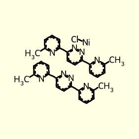 Cc1cccc(-c2ccc(-c3cccc(C)n3)nn2)n1.Cc1cccc(-c2ccc(-c3cccc(C)n3)nn2)n1.[Cl][Ni]